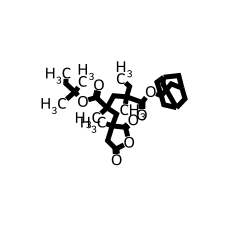 CCC(C)(C)OC(=O)C(C)(CC1(C)CC(=O)OC1=O)CC(C)(CC)C(=O)OC12CC3CC(CC(C3)C1)C2